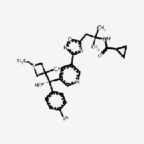 CC(C)c1ccc([C@](O)(c2cncc(-c3noc(CC(C)(C)NC(=O)C4CC4)n3)c2)C2(C)CN(C)C2)cc1